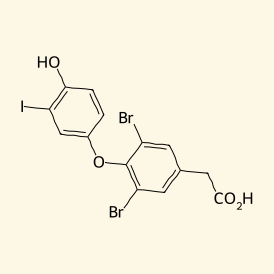 O=C(O)Cc1cc(Br)c(Oc2ccc(O)c(I)c2)c(Br)c1